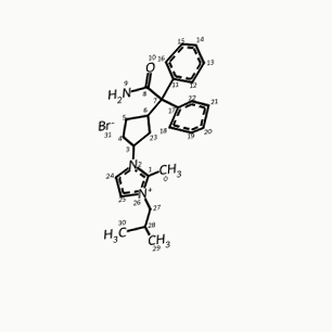 Cc1n(C2CCC(C(C(N)=O)(c3ccccc3)c3ccccc3)C2)cc[n+]1CC(C)C.[Br-]